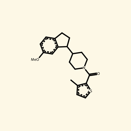 COc1ccc2c(c1)C(C1CCN(C(=O)c3sccc3C)CC1)CC2